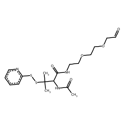 CC(=O)NC(C(=O)NCCOCCOCC=O)C(C)(C)SSc1ccccn1